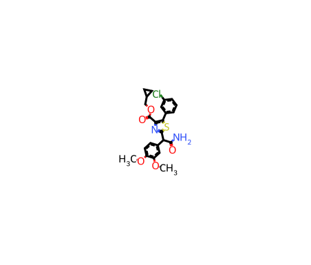 COc1ccc(C(C(N)=O)c2nc(C(=O)OCC3CC3)c(-c3cccc(Cl)c3)s2)cc1OC